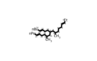 CCC=CCCCC(C)C[C](CCC=CCCCC)CC(C)CCC=CCCC